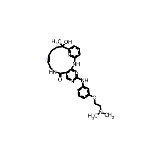 CN(C)CCOc1cccc(Nc2ncc3c(n2)Nc2cccc(n2)C(C)(O)CC/C=C\CNC3=O)c1